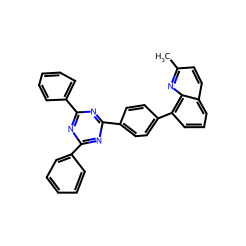 Cc1ccc2cccc(-c3ccc(-c4nc(-c5ccccc5)nc(-c5ccccc5)n4)cc3)c2n1